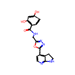 O=C(NCc1nnc(-c2ccnc3c2CCN3)o1)c1ccc(O)cc1O